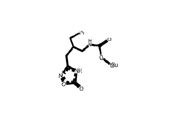 CC(C)CC(CNC(=O)OC(C)(C)C)Cc1noc(=O)[nH]1